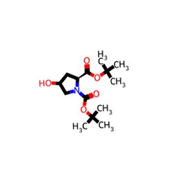 CC(C)(C)OC(=O)[C@@H]1CC(O)CN1C(=O)OC(C)(C)C